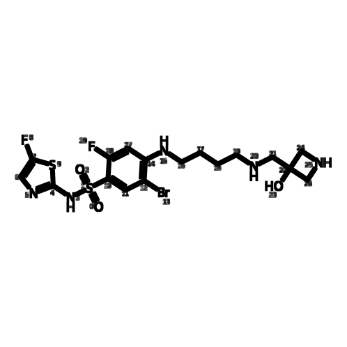 O=S(=O)(Nc1ncc(F)s1)c1cc(Br)c(NCCCCNCC2(O)CNC2)cc1F